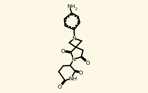 Nc1ccc(N2CC3(CC(=O)N(C4CCC(=O)NC4=O)C3=O)C2)cc1